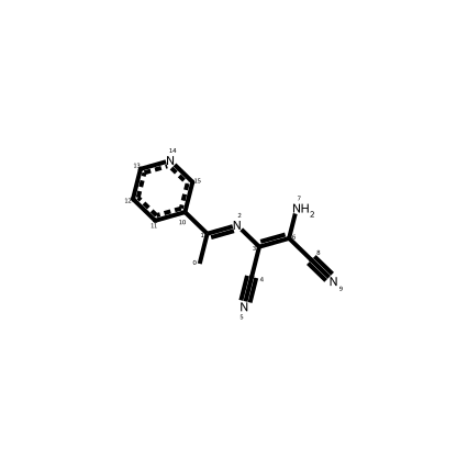 CC(=NC(C#N)=C(N)C#N)c1cccnc1